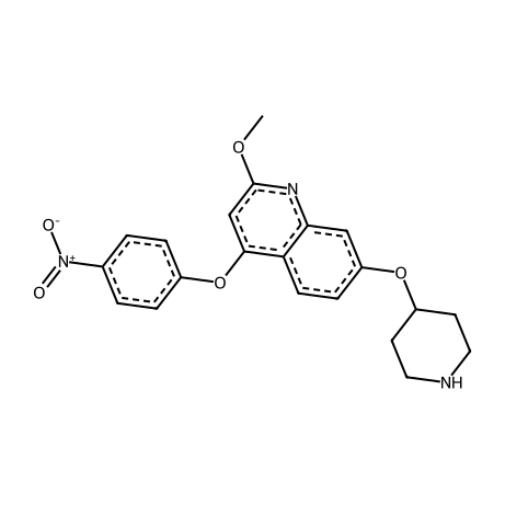 COc1cc(Oc2ccc([N+](=O)[O-])cc2)c2ccc(OC3CCNCC3)cc2n1